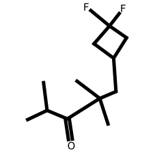 CC(C)C(=O)C(C)(C)CC1CC(F)(F)C1